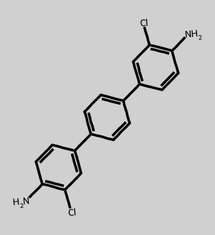 Nc1ccc(-c2ccc(-c3ccc(N)c(Cl)c3)cc2)cc1Cl